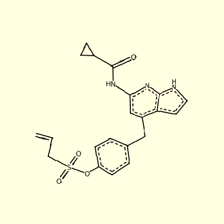 C=CCS(=O)(=O)Oc1ccc(Cc2cc(NC(=O)C3CC3)nc3[nH]ccc23)cc1